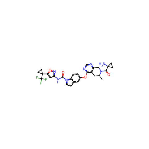 C[C@H]1Cc2c(ncnc2Oc2ccc3c(ccn3C(=O)Nc3cc(C4(C(F)(F)F)CC4)on3)c2)CN1C(=O)C1(N)CC1